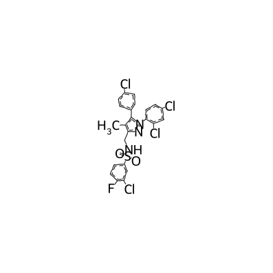 Cc1c(CNS(=O)(=O)c2ccc(F)c(Cl)c2)nn(-c2ccc(Cl)cc2Cl)c1-c1ccc(Cl)cc1